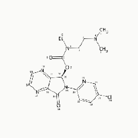 CCN(CCN(C)C)C(=O)O[C@@H]1c2nccnc2C(=O)N1c1ccc(Cl)cn1